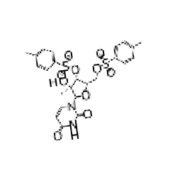 Cc1ccc(S(=O)(=O)OCC2OC(n3ccc(=O)[nH]c3=O)[C@@](C)(O)[C@@H]2OS(=O)(=O)c2ccc(C)cc2)cc1